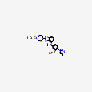 COc1cc(Nc2cccc3oc(C4CCN(C(=O)O)CC4)nc23)ccc1-n1cnc(C)c1